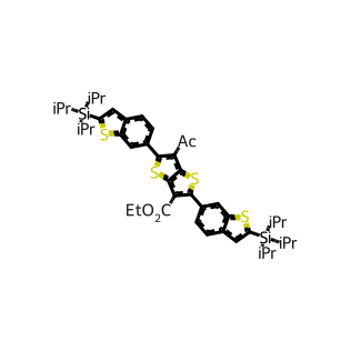 CCOC(=O)c1c(-c2ccc3cc([Si](C(C)C)(C(C)C)C(C)C)sc3c2)sc2c(C(C)=O)c(-c3ccc4cc([Si](C(C)C)(C(C)C)C(C)C)sc4c3)sc12